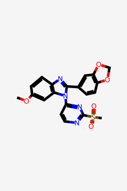 COc1ccc2nc(-c3ccc4c(c3)OCO4)n(-c3ccnc(S(C)(=O)=O)n3)c2c1